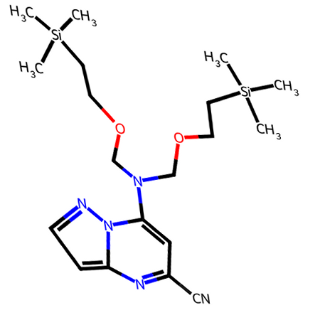 C[Si](C)(C)CCOCN(COCC[Si](C)(C)C)c1cc(C#N)nc2ccnn12